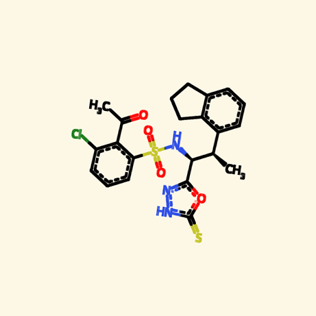 CC(=O)c1c(Cl)cccc1S(=O)(=O)N[C@H](c1n[nH]c(=S)o1)[C@H](C)c1cccc2c1CCC2